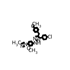 COc1ccc(Cc2cnc(Nc3ccc(-n4cnc(C)c4)c(OC)c3)nc2C2=CCC(Cl)C=C2)cc1